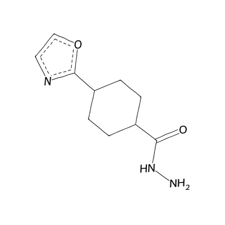 NNC(=O)C1CCC(c2ncco2)CC1